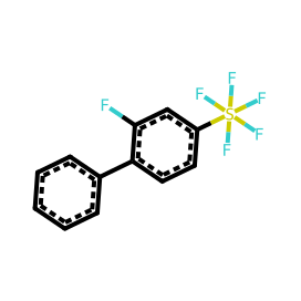 Fc1cc(S(F)(F)(F)(F)F)ccc1-c1ccccc1